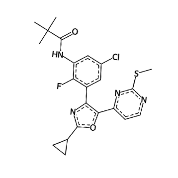 CSc1nccc(-c2oc(C3CC3)nc2-c2cc(Cl)cc(NC(=O)C(C)(C)C)c2F)n1